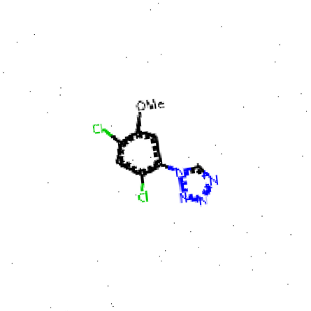 COc1cc(-n2[c]nnn2)c(Cl)cc1Cl